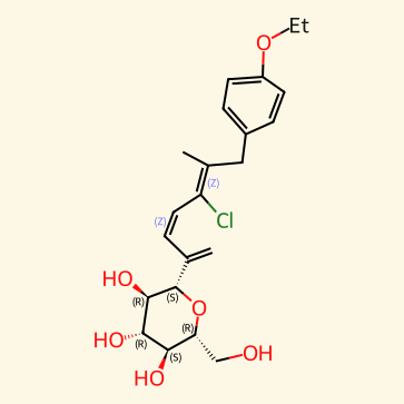 C=C(/C=C\C(Cl)=C(/C)Cc1ccc(OCC)cc1)[C@@H]1O[C@H](CO)[C@@H](O)[C@H](O)[C@H]1O